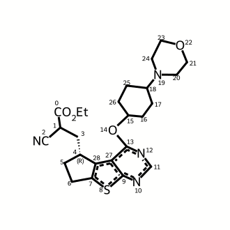 CCOC(=O)C(C#N)C[C@H]1CCc2sc3ncnc(OC4CCC(N5CCOCC5)CC4)c3c21